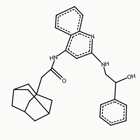 O=C(CC12CC3CC(CC(C3)C1)C2)Nc1cc(NCC(O)c2ccccc2)nc2ccccc12